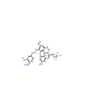 COc1cc(CCOc2cc3c(cc2OC)CCN(C(=O)NCC(F)(F)F)C3c2ccc(Cl)cc2C)ccc1N